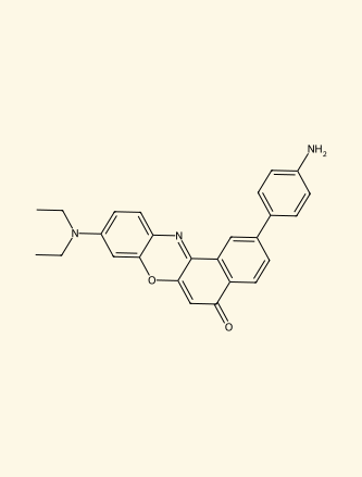 CCN(CC)c1ccc2nc3c4cc(-c5ccc(N)cc5)ccc4c(=O)cc-3oc2c1